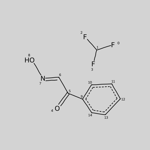 FC(F)F.O=C(C=NO)c1ccccc1